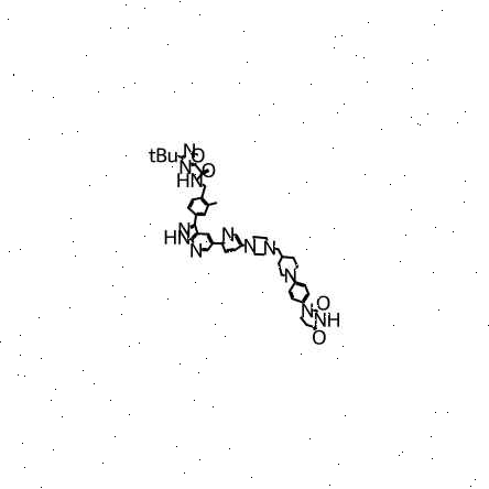 Cc1cc(-c2n[nH]c3ncc(-c4ccc(N5CCN(CC6CCN(c7ccc(N8CCC(=O)NC8=O)cc7)CC6)CC5)cn4)cc23)ccc1CNC(=O)c1nc(C(C)(C)C)no1